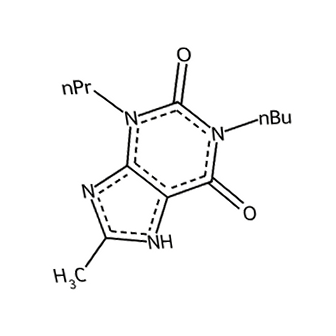 CCCCn1c(=O)c2[nH]c(C)nc2n(CCC)c1=O